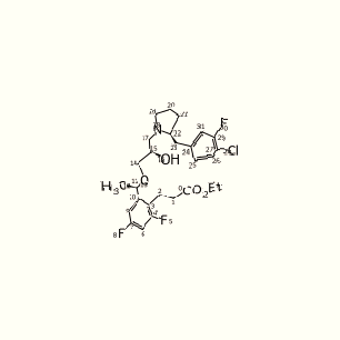 CCOC(=O)CCc1c(F)cc(F)cc1[C@@H](C)OC[C@H](O)CN1CCC[C@H]1Cc1ccc(Cl)c(F)c1